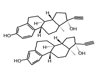 C#C[C@]1(O)CC[C@H]2[C@@H]3CCc4cc(O)ccc4[C@H]3CC[C@@]21C.C#C[C@]1(O)CC[C@H]2[C@@H]3CCc4cc(O)ccc4[C@H]3CC[C@@]21C